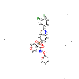 O=C(NOC1CCCCO1)C1(S(=O)(=O)c2ccc3nc(-c4ccc(F)c(F)c4)sc3c2)CCOCC1